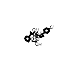 O=C(O)COc1ccccc1C1CC1(NS(=O)(=O)c1ccc(-c2ccc(Cl)cc2)s1)C(=O)O